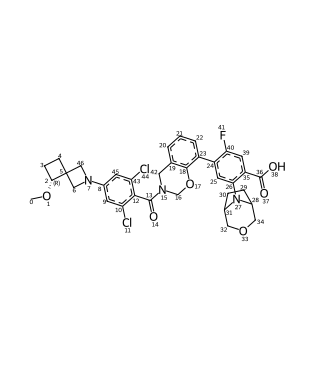 CO[C@@H]1CCC12CN(c1cc(Cl)c(C(=O)N3COc4c(cccc4-c4cc(N5C6CCC5COC6)c(C(=O)O)cc4F)C3)c(Cl)c1)C2